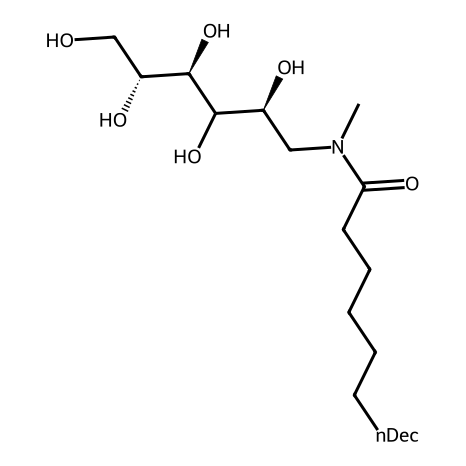 CCCCCCCCCCCCCCCC(=O)N(C)C[C@H](O)C(O)[C@H](O)[C@H](O)CO